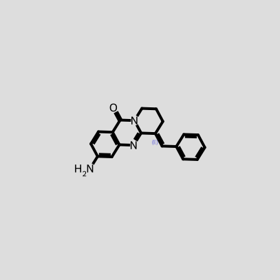 Nc1ccc2c(=O)n3c(nc2c1)/C(=C/c1ccccc1)CCC3